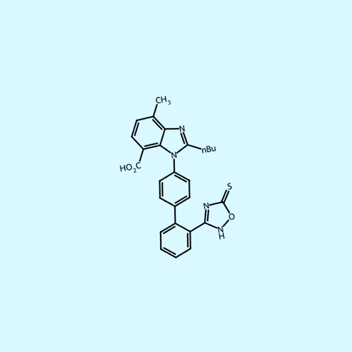 CCCCc1nc2c(C)ccc(C(=O)O)c2n1-c1ccc(-c2ccccc2-c2nc(=S)o[nH]2)cc1